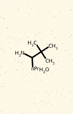 CCCC(N)C(C)(C)C.O